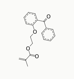 C=C(C)C(=O)OCCOc1ccccc1C(=O)c1ccccc1